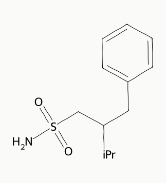 CC(C)C(Cc1ccccc1)CS(N)(=O)=O